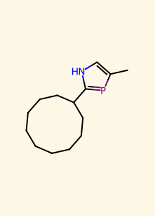 Cc1c[nH]c(C2CCCCCCCCC2)p1